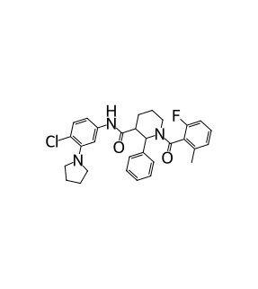 Cc1cccc(F)c1C(=O)N1CCCC(C(=O)Nc2ccc(Cl)c(N3CCCC3)c2)C1c1ccccc1